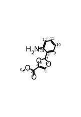 COC(=O)C1=COC(c2ccccc2N)O1